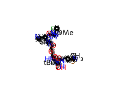 COc1cccc(F)c1-c1nccc(C(=O)Nc2ccc(-c3cnccc3C#N)cc2N2CCN(C(=O)CCOCCC(=O)N[C@H](C(=O)N3C[C@H](O)C[C@H]3C(=O)NCc3ccc(-c4scnc4C)cc3)C(C)(C)C)CC2)n1